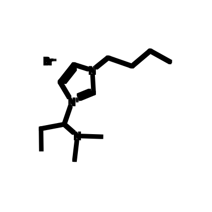 CCCCn1cc[n+](C(CC)N(C)C)c1.[Br-]